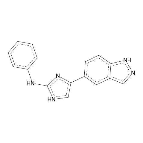 c1ccc(Nc2nc(-c3ccc4[nH]ncc4c3)c[nH]2)cc1